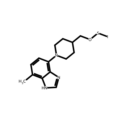 Cc1ccc(N2CCC(COSI)CC2)c2nc[nH]c12